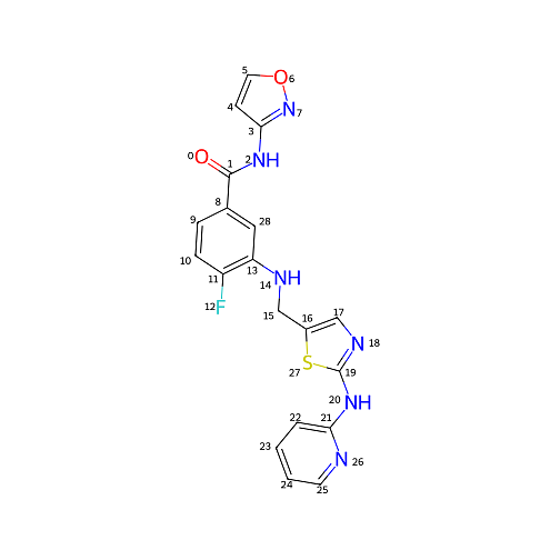 O=C(Nc1ccon1)c1ccc(F)c(NCc2cnc(Nc3ccccn3)s2)c1